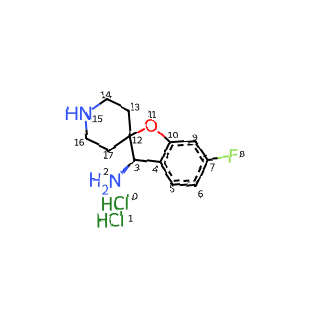 Cl.Cl.N[C@@H]1c2ccc(F)cc2OC12CCNCC2